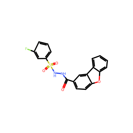 O=C(NNS(=O)(=O)c1cccc(F)c1)c1ccc2oc3ccccc3c2c1